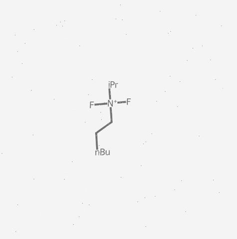 CCCCCC[N+](F)(F)C(C)C